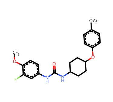 CC(=O)Oc1ccc(OC2CCC(NC(=O)Nc3ccc(OC(F)(F)F)c(F)c3)CC2)cc1